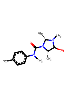 C[C@H]1C(O)N(C)[C@@H](C(C)(C)C)N1C(=O)N(C)c1ccc(C#N)cc1